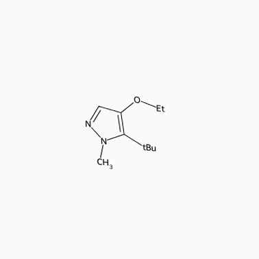 CCOc1cnn(C)c1C(C)(C)C